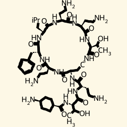 CC(C)C[C@@H]1NC(=O)[C@@H](Cc2ccccc2)NC(=O)[C@H](CCN)NC(=O)[C@@H](NC(=O)[C@H](CCN)NC(=O)[C@@H](NC(=O)[C@H]2CC[C@@H](N)CC2)C(C)O)CCNC(=O)[C@H](C(C)O)NC(=O)[C@H](CCN)NC(=O)[C@H](CCN)NC1=O